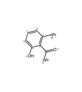 CCCC(=O)c1c(O)cccc1CCC